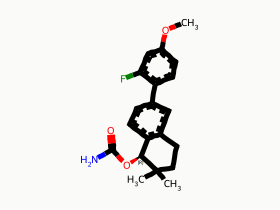 COc1ccc(-c2ccc3c(c2)CCC(C)(C)[C@H]3OC(N)=O)c(F)c1